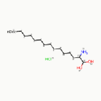 CCCCCCCCCCCCCCCCCCCCCCC(N)C(O)O.Cl